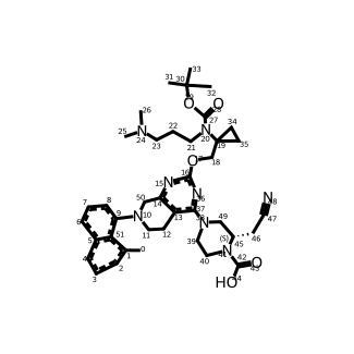 Cc1cccc2cccc(N3CCc4c(nc(OCC5(N(CCCN(C)C)C(=O)OC(C)(C)C)CC5)nc4N4CCN(C(=O)O)[C@@H](CC#N)C4)C3)c12